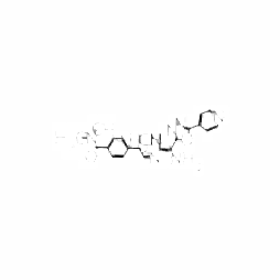 C=C(/C=N\C(N)=C(/N)c1nnc(-c2ccncc2)o1)c1ccc(C(=O)N(C)C)cc1